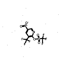 O=[N+]([O-])c1cnc(OS(=O)(=O)C(F)(F)F)c(C(F)(F)F)c1